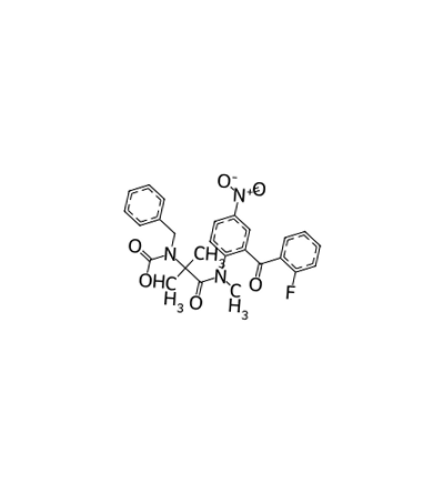 CN(C(=O)C(C)(C)N(Cc1ccccc1)C(=O)O)c1ccc([N+](=O)[O-])cc1C(=O)c1ccccc1F